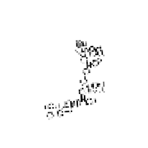 CCCCCCCCC1(CCCCCCCC)c2cc(-c3ccccc3)ccc2-c2ccc(-c3ccc(N(c4ccc5c(c4)CC5)c4ccc5c(c4)C(CCCCCCCC)(CCCCCCCC)c4cc(-c6ccc(N(c7ccc8c(c7)CC8)c7ccc8c(c7)C(CCCCCCCC)(CCCCCCCC)c7cc(C(C)CC)ccc7-8)cc6)ccc4-5)cc3)cc21